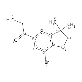 CCC(=O)c1cc(Br)c2c(c1)C(C)(C)CO2